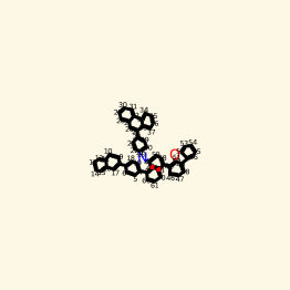 c1ccc(-c2ccc(-c3ccc4ccccc4c3)cc2N(c2ccc(-c3cc4ccccc4c4ccccc34)cc2)c2ccc(-c3cccc4c3oc3ccccc34)cc2)cc1